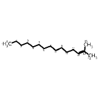 [CH2]CCCCCCCCCCCC=C(C)C